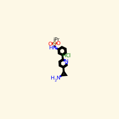 CC(C)S(=O)(=O)Nc1cccc(-c2ccc(C3CC3N)cn2)c1.Cl